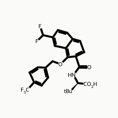 CC(C)(C)[C@@H](NC(=O)c1ccc2ccc(C(F)F)cc2c1OCc1ccc(C(F)(F)F)cc1)C(=O)O